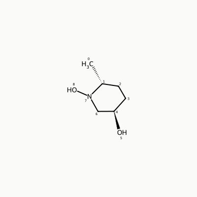 C[C@@H]1CC[C@@H](O)CN1O